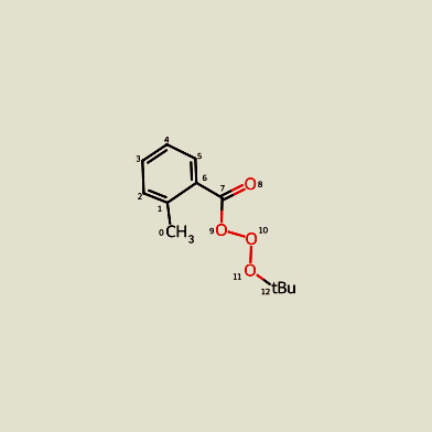 Cc1ccccc1C(=O)OOOC(C)(C)C